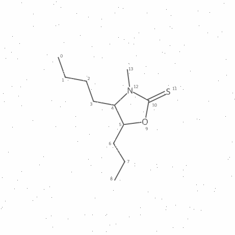 CCCCC1C(CCC)OC(=S)N1C